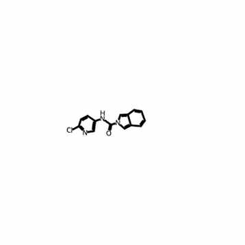 O=C(Nc1ccc(Cl)nc1)n1cc2ccccc2c1